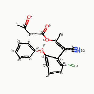 CC(=O)CC(=O)OC(C)=C(C#N)c1c(Cl)cccc1Oc1ccccc1